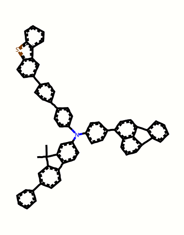 CC1(C)c2cc(-c3ccccc3)ccc2-c2ccc(N(c3ccc(-c4ccc(-c5ccc6sc7ccccc7c6c5)cc4)cc3)c3ccc(-c4ccc5c6c(cccc46)-c4ccccc4-5)cc3)cc21